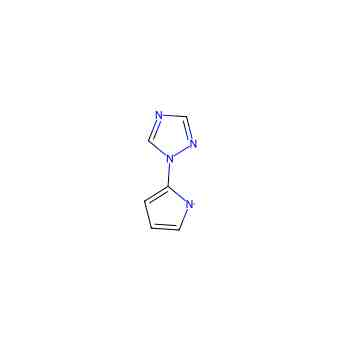 C1=C[N]C(n2cncn2)=C1